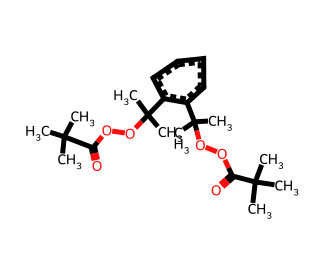 CC(C)(C)C(=O)OOC(C)(C)c1ccccc1C(C)(C)OOC(=O)C(C)(C)C